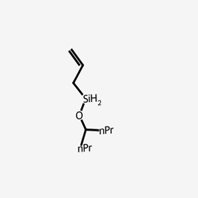 C=CC[SiH2]OC(CCC)CCC